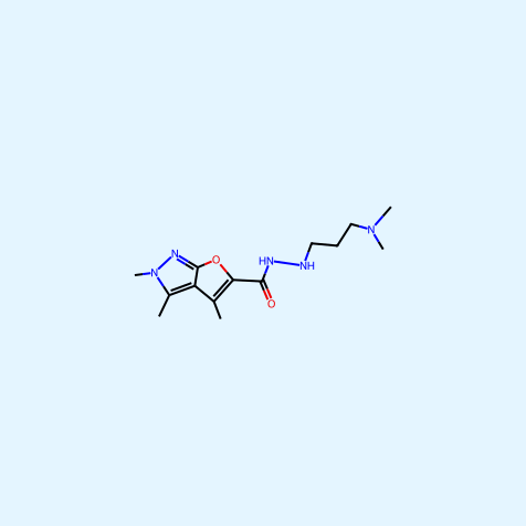 Cc1c(C(=O)NNCCCN(C)C)oc2nn(C)c(C)c12